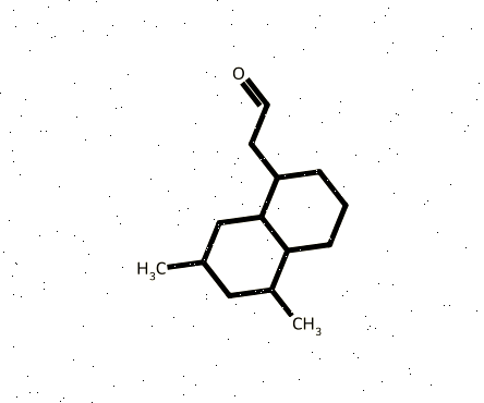 CC1CC(C)C2CCCC(CC=O)C2C1